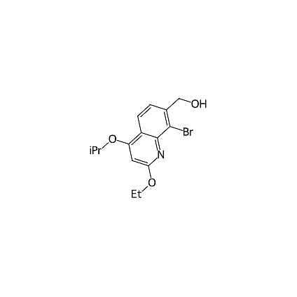 CCOc1cc(OC(C)C)c2ccc(CO)c(Br)c2n1